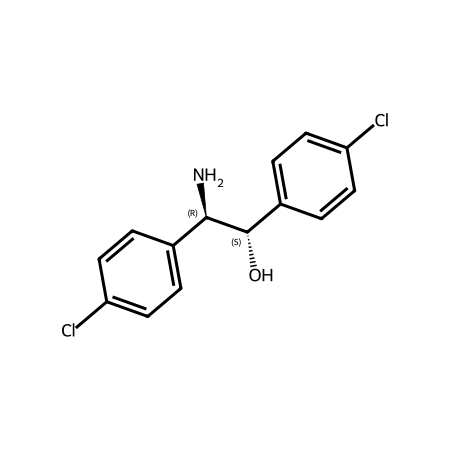 N[C@H](c1ccc(Cl)cc1)[C@@H](O)c1ccc(Cl)cc1